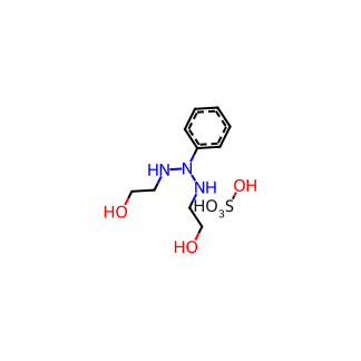 O=S(=O)(O)O.OCCNN(NCCO)c1ccccc1